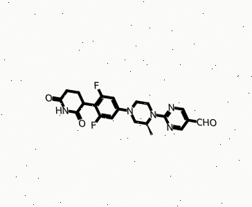 C[C@H]1CN(c2cc(F)c(C3CCC(=O)NC3=O)c(F)c2)CCN1c1ncc(C=O)cn1